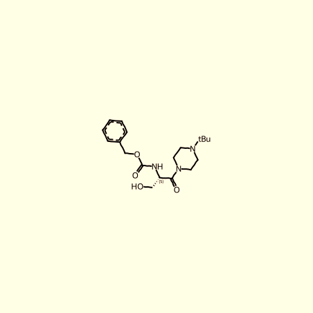 CC(C)(C)N1CCN(C(=O)[C@H](CO)NC(=O)OCc2ccccc2)CC1